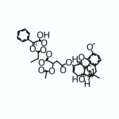 COc1ccc2c3c1O[C@H]1C(OC(=O)CC(OC(C)=O)C(=O)OC(C)C(=O)O[C@H](C(=O)O)c4ccccc4)=CC[C@@]4(O)[C@@H](C2)N(C)CC[C@]314